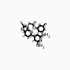 Cc1cccc(O[C@H](C)Cn2c(C)nc3ccc(-c4cc(N)nc(N)c4)nc32)c1